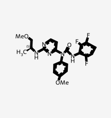 COC[C@H](C)Nc1nccc(N(C(=O)Nc2c(F)ccc(F)c2F)c2ccc(OC)cc2)n1